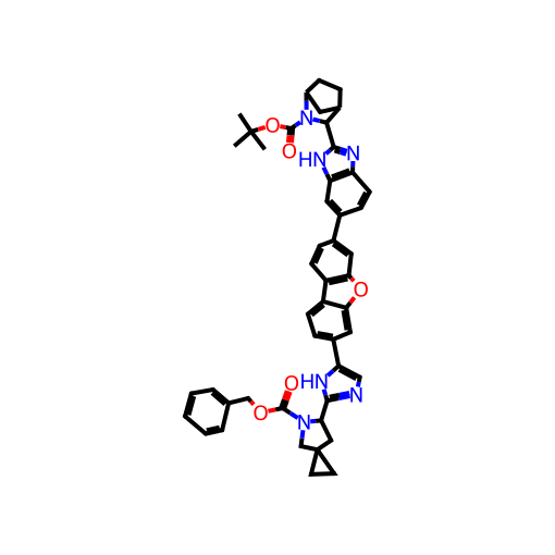 CC(C)(C)OC(=O)N1C2CCC(C2)C1c1nc2ccc(-c3ccc4c(c3)oc3cc(-c5cnc(C6CC7(CC7)CN6C(=O)OCc6ccccc6)[nH]5)ccc34)cc2[nH]1